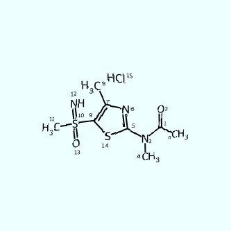 CC(=O)N(C)c1nc(C)c(S(C)(=N)=O)s1.Cl